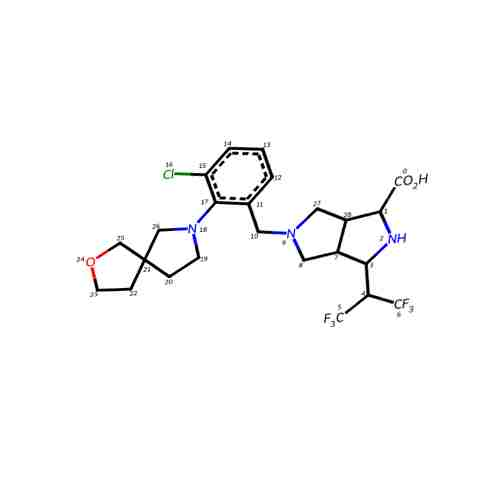 O=C(O)C1NC(C(C(F)(F)F)C(F)(F)F)C2CN(Cc3cccc(Cl)c3N3CCC4(CCOC4)C3)CC12